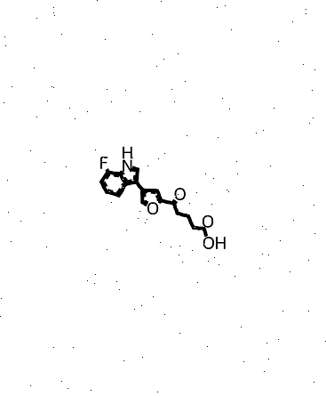 O=C(O)CCCC(=O)c1cc(-c2c[nH]c3c(F)cccc23)co1